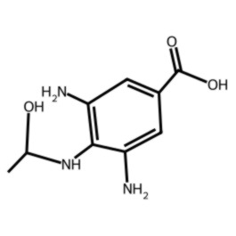 CC(O)Nc1c(N)cc(C(=O)O)cc1N